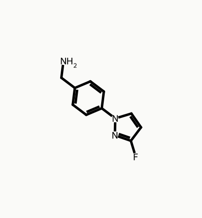 NCc1ccc(-n2ccc(F)n2)cc1